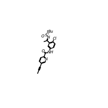 CC#Cc1ccc(C(=O)Nc2ccc(Cl)c(C(C)=N[S+]([O-])C(C)(C)C)c2)nc1